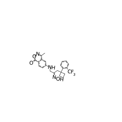 Cc1noc(=O)c2ccc(NC/C(CC3(c4ccccc4C(F)(F)F)CCC3)=N/O)cc12